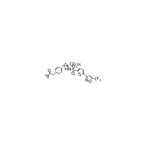 CN(C)C(=O)Cc1ccc([C@@H]2C[C@]2(NS(=O)(=O)c2ccc(-c3cc(C(F)(F)F)on3)s2)C(=O)O)cc1